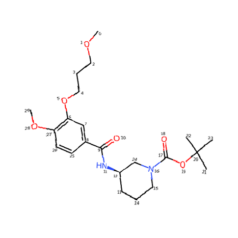 COCCCOc1cc(C(=O)N[C@@H]2CCCN(C(=O)OC(C)(C)C)C2)ccc1OC